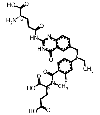 CCN(Cc1ccc2nc(NC(=O)CC[C@H](N)C(=O)O)[nH]c(=O)c2c1)c1ccc(C(=O)N(C)[C@@H](CCC(=O)O)C(=O)O)c(F)c1